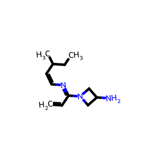 C=C/C(=N\C=C/C(C)CC)N1CC(N)C1